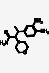 CC(c1ccc(N)c(N)c1)C(C(N)=O)N1CCOCC1